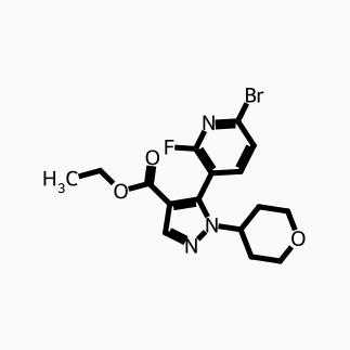 CCOC(=O)c1cnn(C2CCOCC2)c1-c1ccc(Br)nc1F